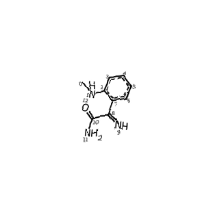 CNc1ccccc1C(=N)C(N)=O